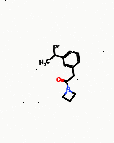 CC(C)C(C)c1cccc(CC(=O)N2CCC2)c1